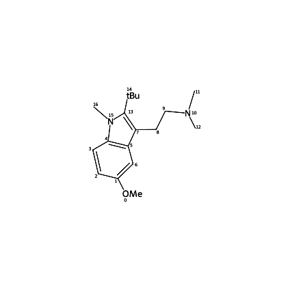 COc1ccc2c(c1)c(CCN(C)C)c(C(C)(C)C)n2C